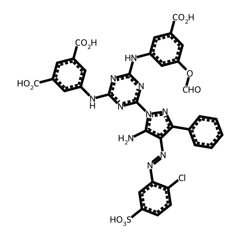 Nc1c(/N=N/c2cc(S(=O)(=O)O)ccc2Cl)c(-c2ccccc2)nn1-c1nc(Nc2cc(OC=O)cc(C(=O)O)c2)nc(Nc2cc(C(=O)O)cc(C(=O)O)c2)n1